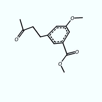 COC(=O)c1cc(CCC(C)=O)cc(OC)c1